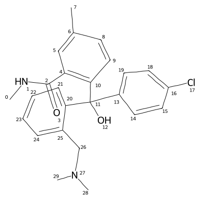 CNC(=O)c1cc(C)ccc1C(O)(c1ccc(Cl)cc1)c1ccccc1CN(C)C